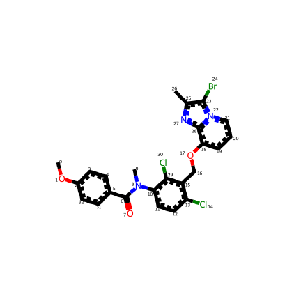 COc1ccc(C(=O)N(C)c2ccc(Cl)c(COc3cccn4c(Br)c(C)nc34)c2Cl)cc1